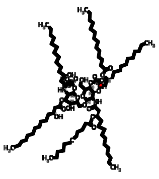 CCCCCCCCCCCCCC(=O)O[C@H](CCCCCCCCCCC)CC(=O)O[C@@H]1C(NC(=O)C[C@@H](CCCCCCCCCCC)OC(=O)CCCCCCCCCCC)[C@H](OCC2O[C@H](OP(=O)(O)O)C(NC(=O)C[C@H](O)CCCCCCCCCCC)[C@@H](OC(=O)C[C@H](O)CCCCCCCCCCC)[C@@H]2O)OC(CO)[C@H]1OP(=O)(O)O